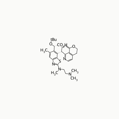 Cc1cc2nc(N(C)CCN(C)C)sc2c([C@@H]2CC=C3OCCc4ccnc2c43)c1[C@H](OC(C)(C)C)C(=O)O